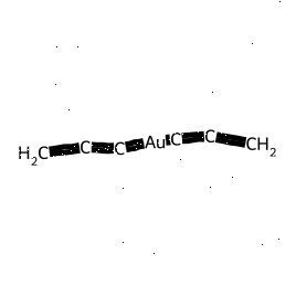 C=C=[C]=[Au]=[C]=C=C